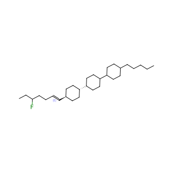 CCCCCC1CCC(C2CCC([C@H]3CC[C@H](/C=C/CCC(F)CC)CC3)CC2)CC1